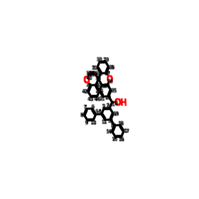 OC(c1cc(-c2ccccc2)cc(-c2ccccc2)c1)c1ccc2c(c1)Oc1ccccc1C21c2ccccc2Oc2ccccc21